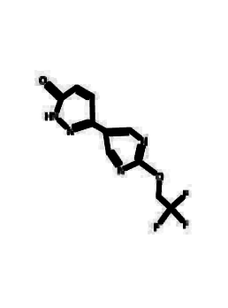 O=c1ccc(-c2cnc(OCC(F)(F)F)nc2)n[nH]1